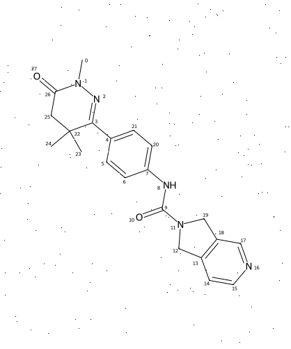 CN1N=C(c2ccc(NC(=O)N3Cc4ccncc4C3)cc2)C(C)(C)CC1=O